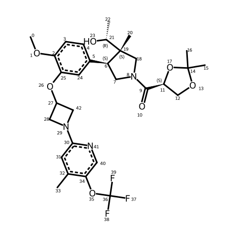 COc1ccc([C@@H]2CN(C(=O)[C@@H]3COC(C)(C)O3)C[C@@]2(C)[C@@H](C)O)cc1OC1CN(c2cc(C)c(OC(F)(F)F)cn2)C1